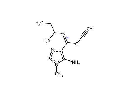 C#CO/C(=N/C(N)CC)c1ncn(C)c1N